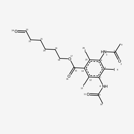 CC(=O)Nc1c(I)c(NC(C)=O)c(I)c(C(=O)OCCCCCC=O)c1I